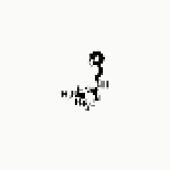 C/N=C(/NCCc1ccco1)NC(=N)N